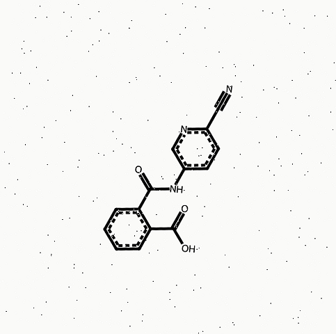 N#Cc1ccc(NC(=O)c2ccccc2C(=O)O)cn1